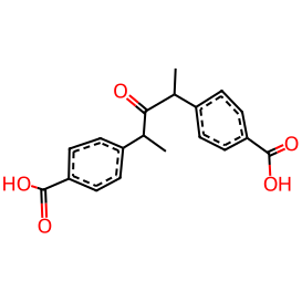 CC(C(=O)C(C)c1ccc(C(=O)O)cc1)c1ccc(C(=O)O)cc1